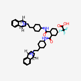 O=C(NC1CCC(CCN2[C@@H]3CC[C@H]2c2ccccc23)CC1)C1CCCCC1C(=O)NC1CCC(CCN2[C@@H]3CC[C@H]2c2ccccc23)CC1.O=C(O)C(F)(F)F